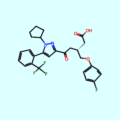 O=C(O)C[C@H](COc1ccc(F)cc1)CC(=O)c1cc(-c2ccccc2C(F)(F)F)n(C2CCCC2)n1